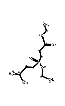 CCOC(=O)CCP(=O)(CCC(C)C)OCC